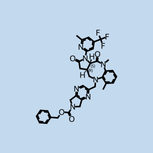 Cc1cc(C(F)(F)F)cc(N2C(=O)C[C@@H]3CN(Cc4cnc5c(n4)CN(C(=O)OCc4ccccc4)C5)c4c(C)cccc4N(C)C(=O)[C@H]32)n1